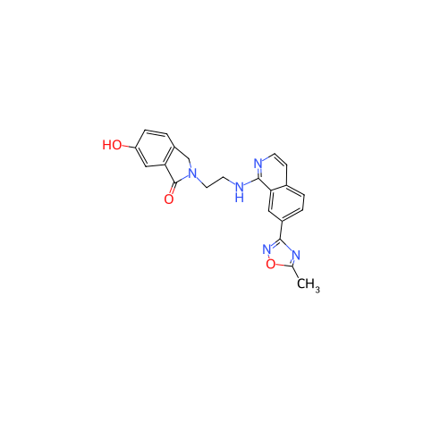 Cc1nc(-c2ccc3ccnc(NCCN4Cc5ccc(O)cc5C4=O)c3c2)no1